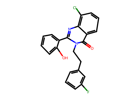 O=c1c2cccc(Cl)c2nc(-c2ccccc2O)n1CCc1cccc(F)c1